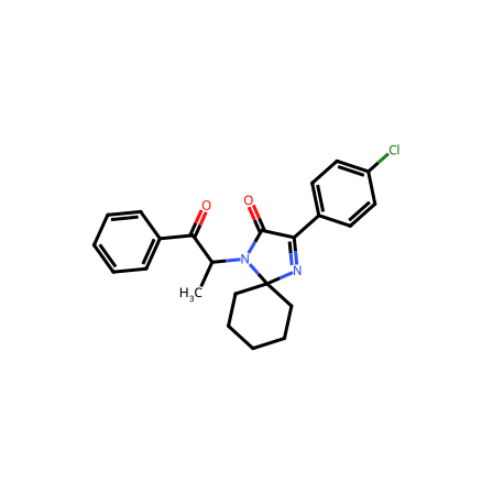 CC(C(=O)c1ccccc1)N1C(=O)C(c2ccc(Cl)cc2)=NC12CCCCC2